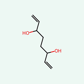 C=CC(O)CCC(O)C=C